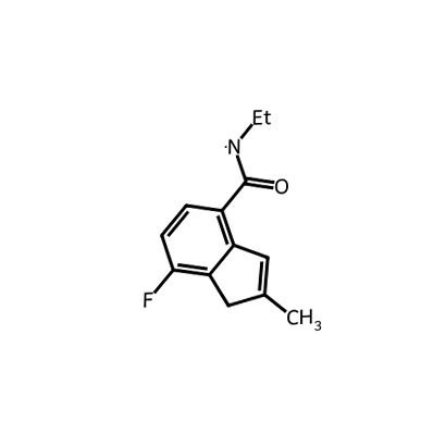 [CH2]C[N]C(=O)c1ccc(F)c2c1C=C(C)C2